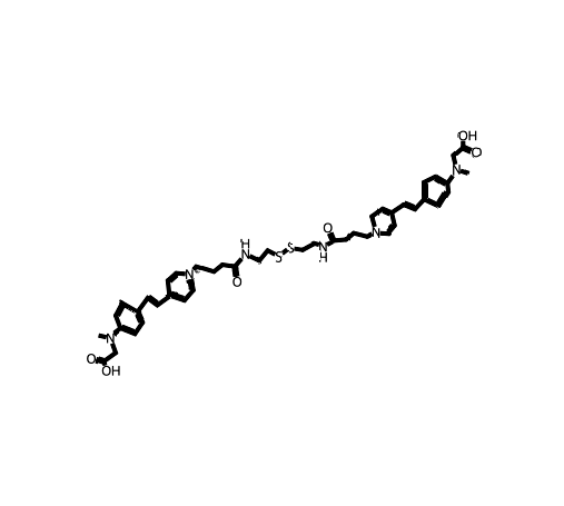 CN(CC(=O)O)c1ccc(/C=C/C2=CCN(CCCC(=O)NCCSSCCNC(=O)CCC[n+]3ccc(/C=C/c4ccc(N(C)CC(=O)O)cc4)cc3)C=C2)cc1